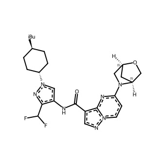 CCC(C)[C@H]1CC[C@H](n2cc(NC(=O)c3cnn4ccc(N5C[C@@H]6C[C@H]5CO6)nc34)c(C(F)F)n2)CC1